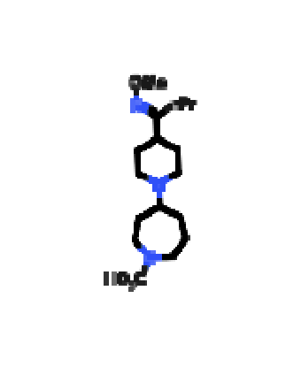 CCCC(=NOC)C1CCN(C2CCCN(C(=O)O)CC2)CC1